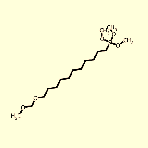 COCOCCCCCCCCCCC[Si](OC)(OC)OC